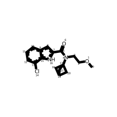 COCCN(C(=O)c1cc2cccc(Cl)c2[nH]1)C12CC(C1)C2